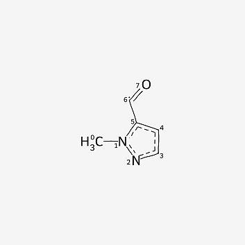 Cn1nccc1[C]=O